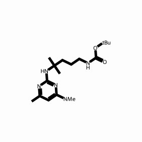 CNc1cc(C)nc(NC(C)(C)CCCNC(=O)OC(C)(C)C)n1